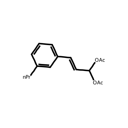 CCCc1cccc(C=CC(OC(C)=O)OC(C)=O)c1